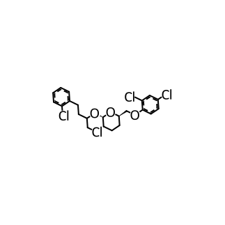 ClCC(CCc1ccccc1Cl)O[C@H]1CCC[C@H](COc2ccc(Cl)cc2Cl)O1